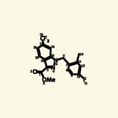 COC(=O)c1nn(Cc2ccc(F)cc2C)c2cc(C(F)(F)F)ccc12